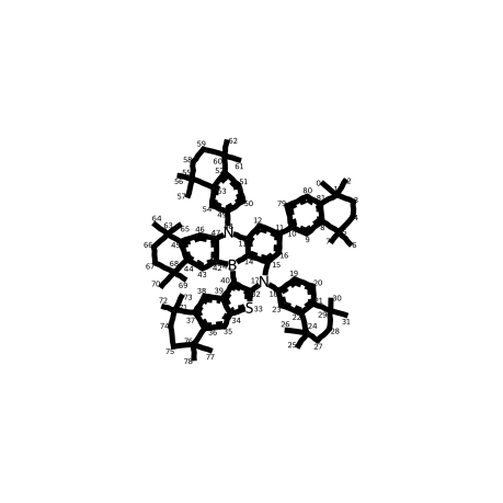 CC1(C)CCC(C)(C)c2cc(-c3cc4c5c(c3)N(c3ccc6c(c3)C(C)(C)CCC6(C)C)c3sc6cc7c(cc6c3B5c3cc5c(cc3N4c3ccc4c(c3)C(C)(C)CCC4(C)C)C(C)(C)CCC5(C)C)C(C)(C)CCC7(C)C)ccc21